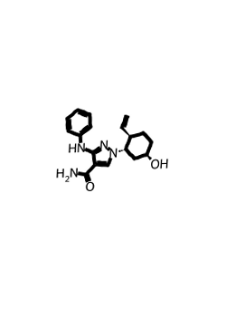 C=C[C@H]1CC[C@@H](O)C[C@@H]1n1cc(C(N)=O)c(Nc2ccccc2)n1